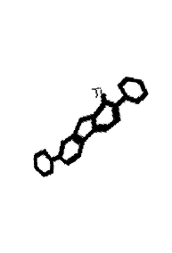 [Ti][c]1c(C2CCCCC2)ccc2c1Cc1cc(C3CCCCC3)ccc1-2